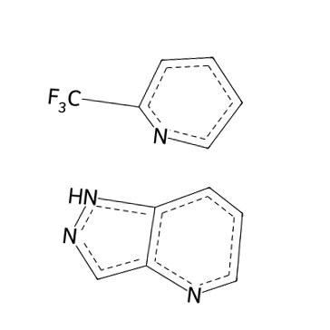 FC(F)(F)c1ccccn1.c1cnc2cn[nH]c2c1